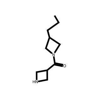 CCCC1CN(C(=O)C2CNC2)C1